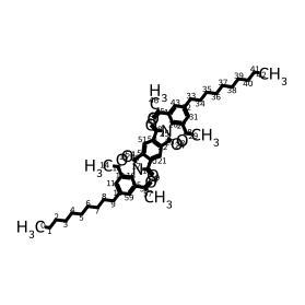 CCCCCCCCCCc1cc(C(C)=O)c(-n2c(=O)c3cc4c(=O)n(-c5c(C(C)=O)cc(CCCCCCCCCC)cc5C(C)=O)c(=O)c4cc3c2=O)c(C(C)=O)c1